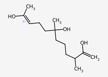 C=C(O)C(C)CCCC(C)(O)CC/C=C(\C)O